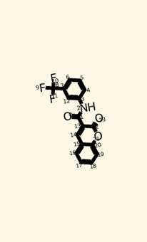 O=C(Nc1cccc(C(F)(F)F)c1)c1cc2ccccc2oc1=O